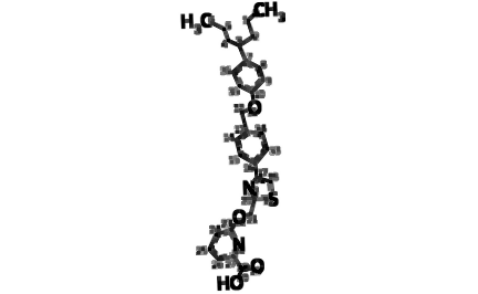 CCCC(CCC)c1ccc(OCc2ccc(-c3csc(COc4cccc(C(=O)O)n4)n3)cc2)cc1